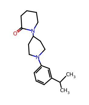 CC(C)c1cccc(N2CCC(N3CCCCC3=O)CC2)c1